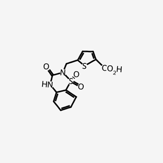 O=C(O)c1ccc(CN2C(=O)Nc3ccccc3S2(=O)=O)s1